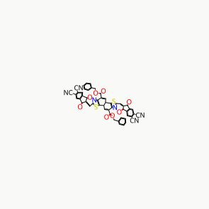 N#Cc1cc2c(cc1C#N)C(=O)C(=Cc1nc3c(s1)C1C=C(C(=O)OCc4ccccc4)c4nc(C=C5C(=O)c6cc(C#N)c(C#N)cc6C5=O)sc4C1C=C3C(=O)OCc1ccccc1)C2=O